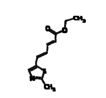 CCOC(=O)C=CC=Cc1cnc(C)s1